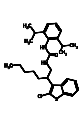 CCCCCC(CNC(=O)Nc1c(C(C)C)cccc1C(C)C)c1c(Cl)sc2ccccc12